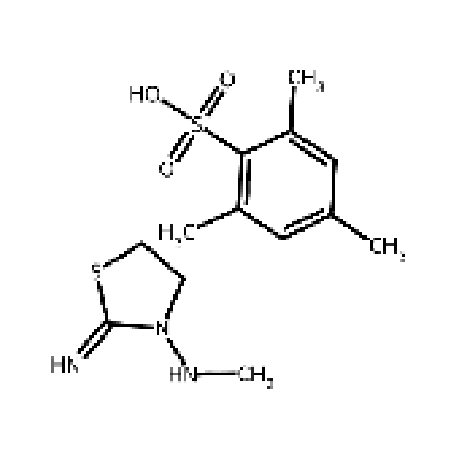 CNN1CCSC1=N.Cc1cc(C)c(S(=O)(=O)O)c(C)c1